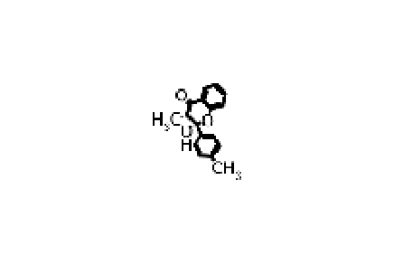 Cc1ccc([C@]2(O)Oc3ccccc3C(=O)[C@H]2C)cc1